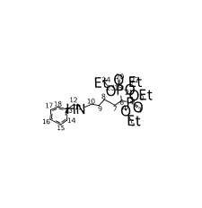 CCOP(=O)(OCC)C(CCCCNCc1ccccc1)P(=O)(OCC)OCC